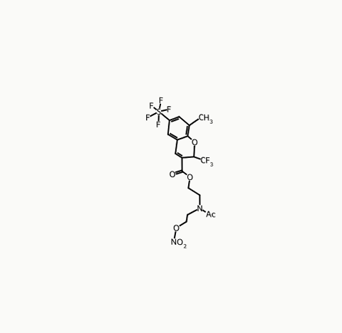 CC(=O)N(CCOC(=O)C1=Cc2cc(S(F)(F)(F)(F)F)cc(C)c2OC1C(F)(F)F)CCO[N+](=O)[O-]